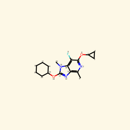 Cc1nc(OC2CC2)c(F)c2c1nc(OC1CCCCC1)n2C